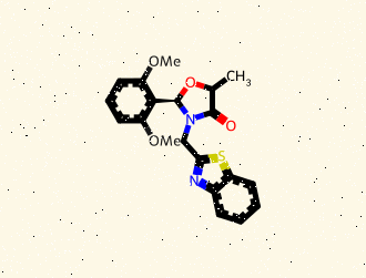 COc1cccc(OC)c1[C@H]1OC(C)C(=O)N1Cc1nc2ccccc2s1